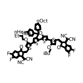 CCCCCCCCc1ccc(C2(c3ccc(CCCCCC)cc3)Oc3cc(-c4sc(/C=C5\C(=O)c6cc(F)c(F)cc6C5=C(C#N)C#N)cc4OCC(C)CC)sc3-c3sc(-c4sc(/C=C5\C(=O)c6cc(F)c(F)cc6C5=C(C#N)C#N)cc4OCC(CC)CCCC)cc32)cc1